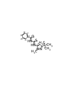 Cn1nc(C(C)(C)C)cc1NC(=S)NC(=O)c1ccccc1